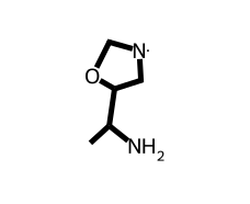 CC(N)C1C[N]CO1